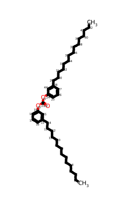 CCCCCCCCCCCCCCCc1cccc(OC(=O)Oc2cccc(CCCCCCCCCCCCCCC)c2)c1